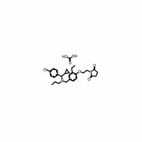 CCCN(Cc1ccc(OCCN2C(=O)CCC2=O)c(CC)c1)C(c1ccc(Cl)cc1)C1CC1.O=C(O)O